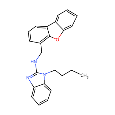 CCCCn1c(NCc2cccc3c2oc2ccccc23)nc2ccccc21